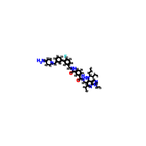 CCCC(CCC)Nc1c(CNC(=O)c2cccc(C(=O)NCc3ccc(F)c(-c4cccc(CN5CCC(N)CC5)c4)c3)c2)c(CC)nc2c1cnn2CC